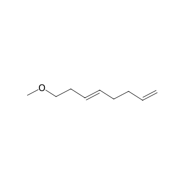 C=CCCC=CCCOC